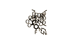 CCOOP(=O)(OOCC)C(O)(C1COc2c(N3CCN(C)CC3)c(F)cc3c(=O)c(C(=O)O)cn1c23)P(=O)(OOCC)OOCC